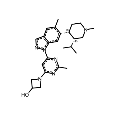 Cc1nc(N2CC(O)C2)cc(-n2ncc3cc(C)c([C@@H]4CCN(C)C[C@@H]4C(C)C)cc32)n1